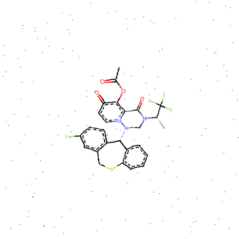 CC(=O)Oc1c2n(ccc1=O)N([C@H]1c3ccc(F)cc3CSc3ccccc31)CN([C@@H](C)C(F)(F)F)C2=O